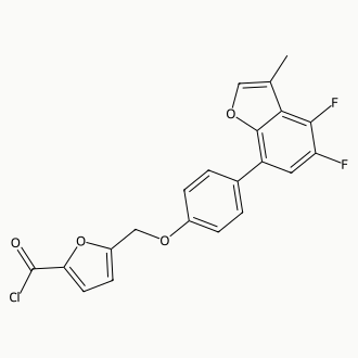 Cc1coc2c(-c3ccc(OCc4ccc(C(=O)Cl)o4)cc3)cc(F)c(F)c12